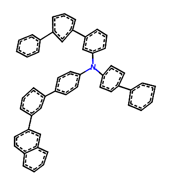 c1ccc(-c2ccc(N(c3ccc(-c4cccc(-c5ccc6ccccc6c5)c4)cc3)c3cccc(-c4cccc(-c5ccccc5)c4)c3)cc2)cc1